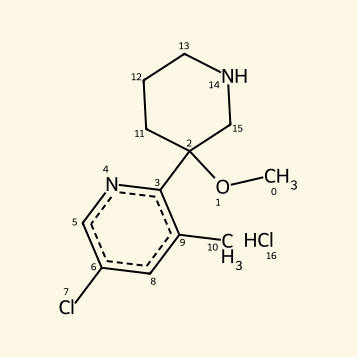 COC1(c2ncc(Cl)cc2C)CCCNC1.Cl